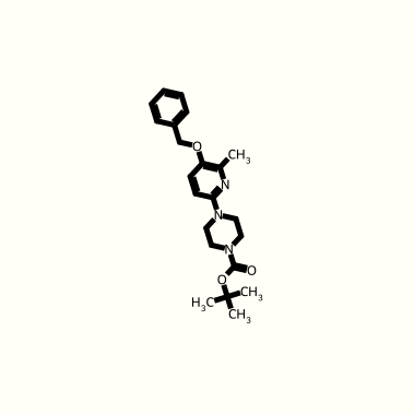 Cc1nc(N2CCN(C(=O)OC(C)(C)C)CC2)ccc1OCc1ccccc1